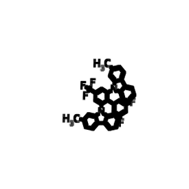 Cc1ccc2c3ccccc3n(-c3cc(C(F)(F)F)cc(-n4c5ccccc5c5ccc(C)cc54)c3-c3cc(F)cc(F)c3)c2c1